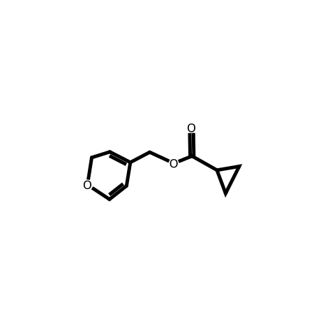 O=C(OCC1=CCOC=C1)C1CC1